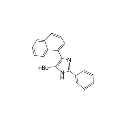 CCCCc1[nH]c(-c2ccccc2)nc1-c1cccc2ccccc12